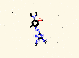 [C-]#[N+]c1nc(N=Nc2cc(OC)c(N(CC)CC)cc2C)[nH]c1[N+]#[C-]